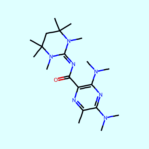 Cc1nc(C(=O)N=C2N(C)C(C)(C)CC(C)(C)N2C)c(N(C)C)nc1N(C)C